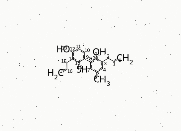 C=CCc1cc(C)cc(-c2ccc(O)c(CC=C)c2S)c1O